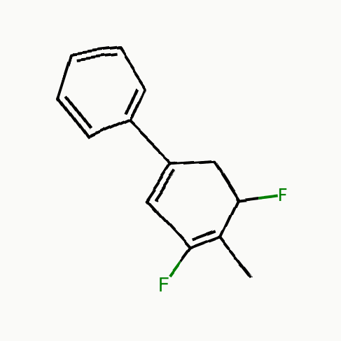 CC1=C(F)C=C(c2ccccc2)CC1F